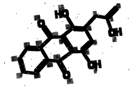 C=C(O)Cc1cc(O)c2c(c1O)C(=O)c1ccccc1C2=O